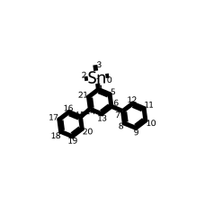 [CH3][Sn]([CH3])([CH3])[c]1cc(-c2ccccc2)cc(-c2ccccc2)c1